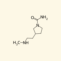 CNCCC1CCN(C(N)=O)C1